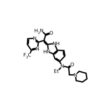 CCN(C(=O)CN1CCCCC1)c1ccc2c(c1)NC(=C(C(N)=O)c1nccc(C(F)(F)F)n1)N2